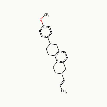 C/C=C/C1CCc2c(ccc3c2CCC(c2ccc(OC(F)(F)F)cc2)C3)C1